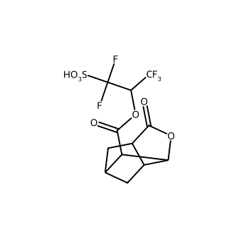 O=C1OC2C3CC(CC13)C2C(=O)OC(C(F)(F)F)C(F)(F)S(=O)(=O)O